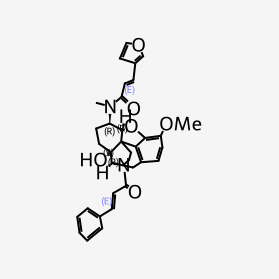 COc1ccc2c3c1O[C@H]1[C@H](N(C)C(=O)/C=C/c4ccoc4)CC[C@@]4(O)[C@@H](C2)N(C(=O)/C=C/c2ccccc2)CCC314